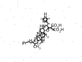 CC(C)CCC[C@@H](C)[C@H]1CC[C@H]2[C@@H]3CC=C4C[C@@H](N[C@@H](Cc5c[nH]cn5)C(=O)C(CC(=O)O)C(=O)O)CC[C@]4(C)[C@H]3CC[C@]12C